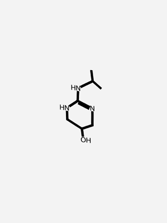 CC(C)NC1=NCC(O)CN1